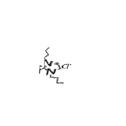 CCCCN1CC[N+](CCCC)=C1F.[Cl-]